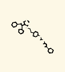 O=C(Nc1ccc(CCNc2ncnc3oc(-c4ccccc4)c(-c4ccccc4)c23)cc1)Nc1cc(-c2ccccc2)n[nH]1